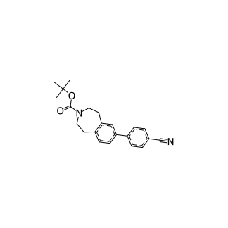 CC(C)(C)OC(=O)N1CCc2ccc(-c3ccc(C#N)cc3)cc2CC1